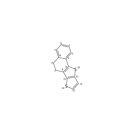 c1ccc2c(c1)CCc1c-2sc2ccsc12